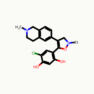 CCN1CC(c2ccc3c(c2)CCN(C)C3)=C(c2cc(Cl)c(O)cc2O)O1